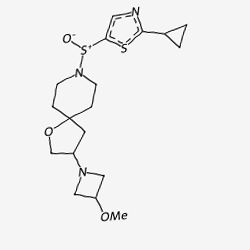 COC1CN(C2COC3(CCN([S+]([O-])c4cnc(C5CC5)s4)CC3)C2)C1